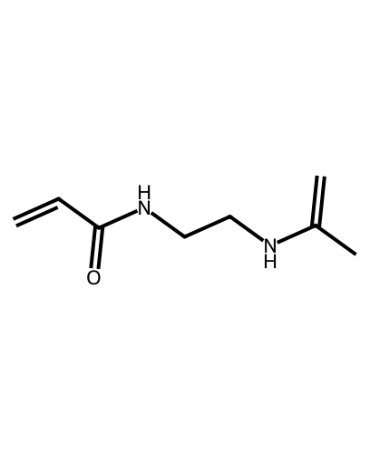 C=CC(=O)NCCNC(=C)C